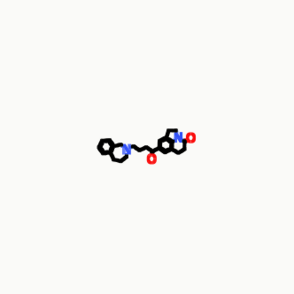 O=C(CCCN1CCCc2ccccc2C1)c1cc2c3c(c1)CCN3C(=O)CC2